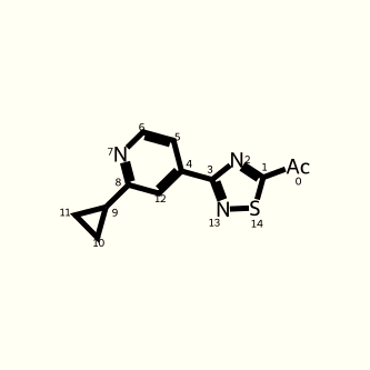 CC(=O)c1nc(-c2ccnc(C3CC3)c2)ns1